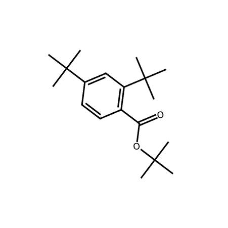 CC(C)(C)OC(=O)c1ccc(C(C)(C)C)cc1C(C)(C)C